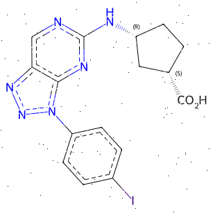 O=C(O)[C@H]1CC[C@@H](Nc2ncc3nnn(-c4ccc(I)cc4)c3n2)C1